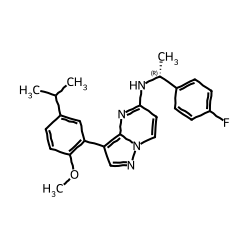 COc1ccc(C(C)C)cc1-c1cnn2ccc(N[C@H](C)c3ccc(F)cc3)nc12